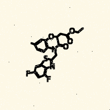 CCOC(=O)CC1Oc2cc(C)ccc2N(Cc2nc3c(F)cc(F)cc3s2)C1=O